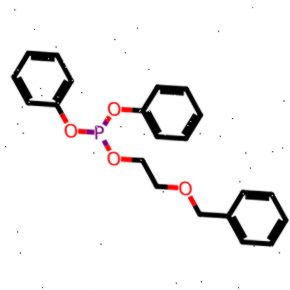 c1ccc(COCCOP(Oc2ccccc2)Oc2ccccc2)cc1